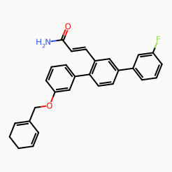 NC(=O)/C=C/c1cc(-c2cccc(F)c2)ccc1-c1cccc(OCC2=CCCC=C2)c1